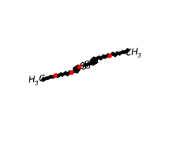 CCCCCCCCCCCCCCc1ccc(SSSSc2ccc(CCCCCCCCCCCCCC)cc2)cc1